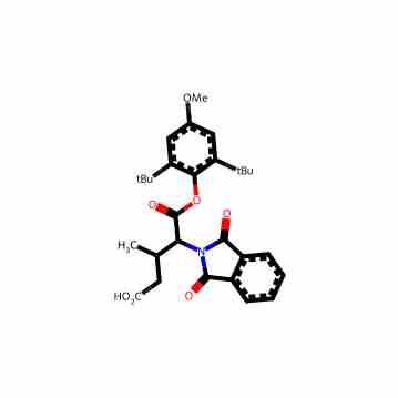 COc1cc(C(C)(C)C)c(OC(=O)C(C(C)CC(=O)O)N2C(=O)c3ccccc3C2=O)c(C(C)(C)C)c1